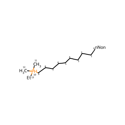 CCCCCCCCCCCCCCCCCC[PH](C)(C)CC